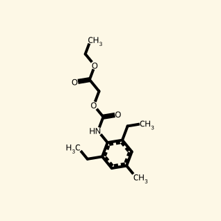 CCOC(=O)COC(=O)Nc1c(CC)cc(C)cc1CC